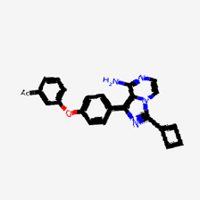 CC(=O)c1cccc(Oc2ccc(-c3nc(C4CCC4)n4ccnc(N)c34)cc2)c1